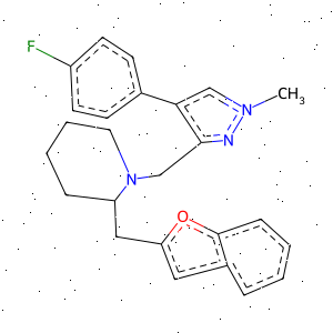 Cn1cc(-c2ccc(F)cc2)c(CN2CCCCC2Cc2cc3ccccc3o2)n1